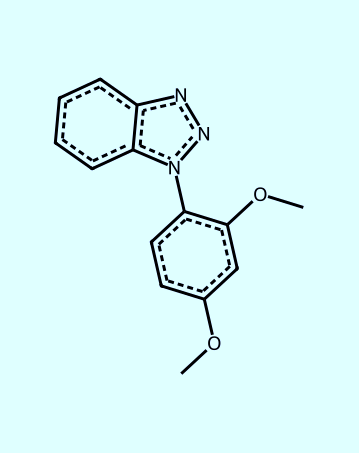 COc1ccc(-n2nnc3ccccc32)c(OC)c1